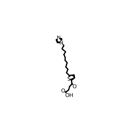 O=C(O)CCC(=O)c1ccc(CCCCCCCCCCn2ccnc2)s1